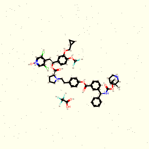 O=C(N[C@@H](c1ccccc1)c1cccc(C(=O)Oc2ccc(CCN3CCC[C@H]3C(=O)O[C@@H](Cc3c(Cl)c[n+]([O-])cc3Cl)c3ccc(OC(F)F)c(OCC4CC4)c3)cc2)c1)O[C@H]1CN2CCC1CC2.O=C(O)C(F)(F)F